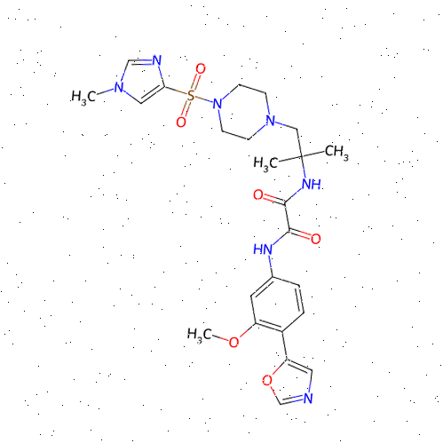 COc1cc(NC(=O)C(=O)NC(C)(C)CN2CCN(S(=O)(=O)c3cn(C)cn3)CC2)ccc1-c1cnco1